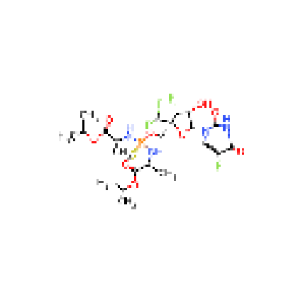 CC(C)OC(=O)[C@H](C)NP(=S)(N[C@@H](C)C(=O)OC(C)C)OC[C@@]1(C(F)F)O[C@@H](n2cc(F)c(=O)[nH]c2=O)[C@H](O)[C@H]1F